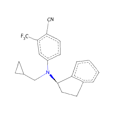 N#Cc1ccc(N(CC2CC2)[C@@H]2CCc3ccccc32)cc1C(F)(F)F